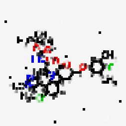 Cc1cc(OCCCc2c(C(=O)O)n([C@H](C)CNC(=O)OC(C)(C)C)c3c(-c4c(C)nn(C)c4C)c(Cl)ccc23)cc(C)c1Cl